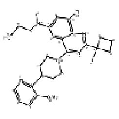 COc1cccnc1C1CCN(c2nc(C3(F)CCC3)nc3c(Cl)cc(N(C)CCO)cc23)CC1